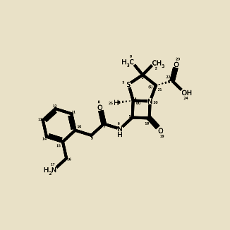 CC1(C)S[C@@H]2C(NC(=O)Cc3ccccc3CN)C(=O)N2[C@H]1C(=O)O